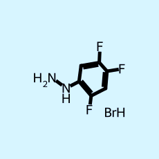 Br.NNc1cc(F)c(F)cc1F